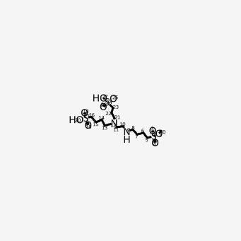 COS(=O)(=O)CCCCNCCN(CCCCS(=O)(=O)O)CCCS(=O)(=O)O